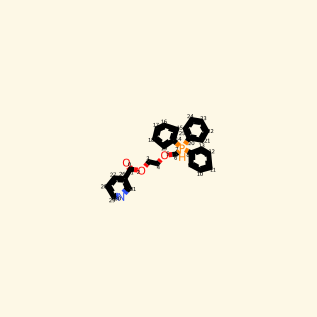 O=C(OCCOC[PH](c1ccccc1)(c1ccccc1)c1ccccc1)c1cccnc1